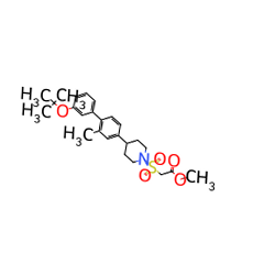 COC(=O)CS(=O)(=O)N1CCC(c2ccc(-c3cccc(OC(C)(C)C)c3)c(C)c2)CC1